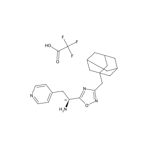 N[C@@H](Cc1ccncc1)c1nc(CC23CC4CC(CC(C4)C2)C3)no1.O=C(O)C(F)(F)F